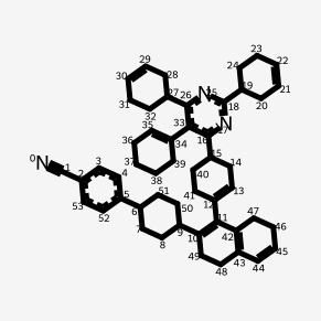 N#Cc1ccc(C2CCC(C3=C(C4=CCC(c5nc(C6CC=CCC6)nc(C6CC=CCC6)c5C5=CCCCC5)CC4)C4=C(C=CCC4)CC3)CC2)cc1